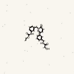 CCOC(=O)Nc1cccc(Cn2nc(-c3cccc(CNC(=O)CO)c3)ccc2=O)c1